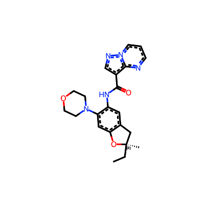 CC[C@]1(C)Cc2cc(NC(=O)c3cnn4cccnc34)c(N3CCOCC3)cc2O1